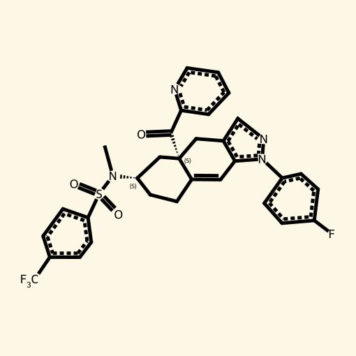 CN([C@H]1CCC2=Cc3c(cnn3-c3ccc(F)cc3)C[C@]2(C(=O)c2ccccn2)C1)S(=O)(=O)c1ccc(C(F)(F)F)cc1